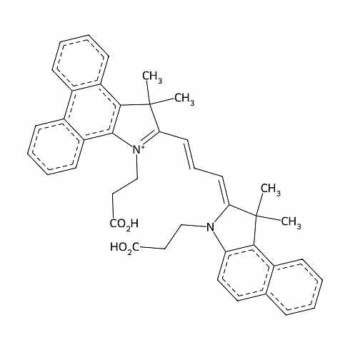 CC1(C)C(/C=C/C=C2\N(CCC(=O)O)c3ccc4ccccc4c3C2(C)C)=[N+](CCC(=O)O)c2c1c1ccccc1c1ccccc21